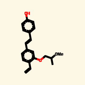 C=Cc1ccc(C=Cc2ccc(O)cc2)cc1OCC(C)OC